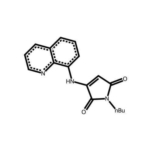 CCCCN1C(=O)C=C(Nc2cccc3cccnc23)C1=O